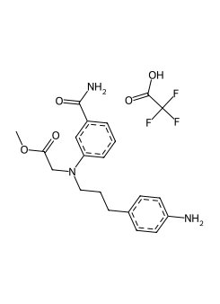 COC(=O)CN(CCCc1ccc(N)cc1)c1cccc(C(N)=O)c1.O=C(O)C(F)(F)F